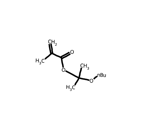 C=C(C)C(=O)OC(C)(C)OCCCC